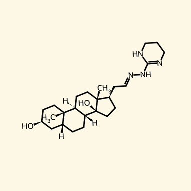 C[C@]12CC[C@H](O)C[C@H]1CC[C@@H]1[C@@H]2CC[C@]2(C)[C@@H](C/C=N/NC3=NCCCN3)CC[C@]12O